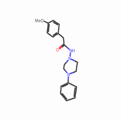 COc1ccc(CC(=O)NN2CCN(c3ccccc3)CC2)cc1